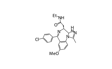 CCNC(=O)C[C@@H]1N=C(c2ccc(Cl)cc2)c2cc(OC)ccc2N2C(C)=NNC12